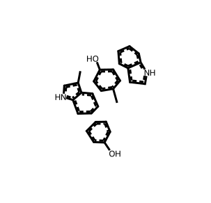 Cc1c[nH]c2ccccc12.Cc1ccc(O)cc1.Oc1ccccc1.c1ccc2[nH]ccc2c1